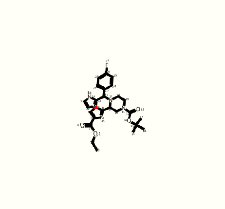 CCOC(=O)c1csc(C2CN(C(=O)OC(C)(C)C)CCN2C(c2ccc(F)cc2)c2ncc[nH]2)n1